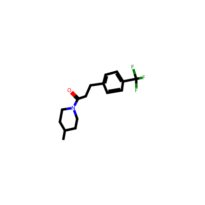 CC1CCN(C(=O)CCc2ccc(C(F)(F)F)cc2)CC1